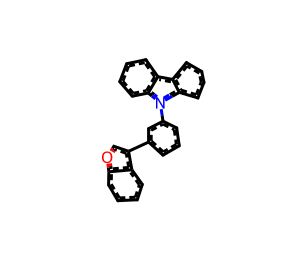 c1cc(-c2coc3ccccc23)cc(-n2c3ccccc3c3ccccc32)c1